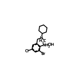 CN(Cc1cc(Cl)cc(Br)c1N)C1CCCCC1.Cl